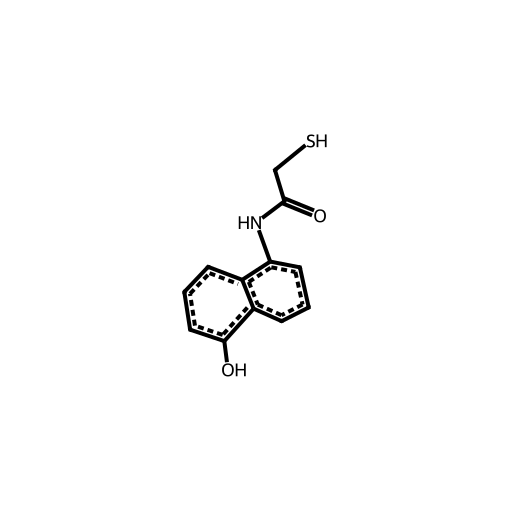 O=C(CS)Nc1cccc2c(O)cccc12